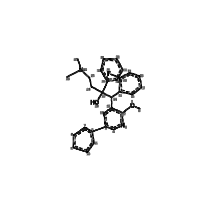 COc1ncc(-c2ccccc2)cc1C(c1ccccc1F)C(O)(CCN(C)C)c1ccccc1